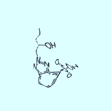 CCCC(O)Cn1nc2cccc(S(=O)(=O)O)c2n1